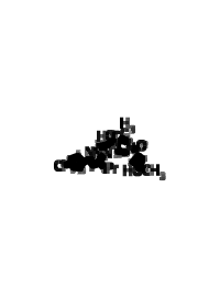 CC(C)c1cc(-c2ccc(Cl)cc2)nn2cc(C(=O)N3CCN(C(=O)[C@H]4C[C@@](C)(O)C4)CC3(C)C)nc12